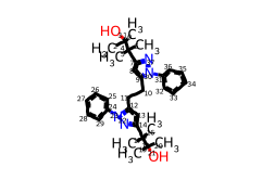 CC(C)(O)C(C)(C)c1cc(CCc2cc(C(C)(C)C(C)(C)O)nn2-c2ccccc2)n(-c2ccccc2)n1